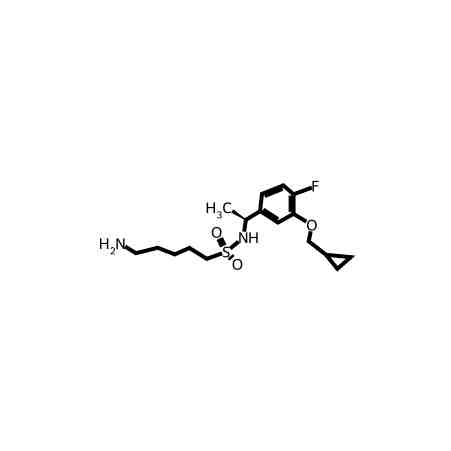 C[C@H](NS(=O)(=O)CCCCCN)c1ccc(F)c(OCC2CC2)c1